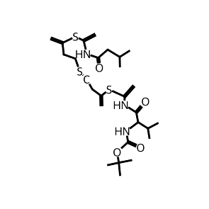 C=C(CCSCCC(=C)SC(=C)NC(=O)C(NC(=O)OC(C)(C)C)C(C)C)SC(=C)NC(=O)CC(C)C